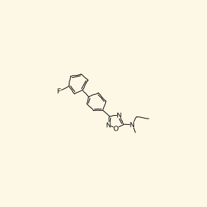 CCN(C)c1nc(-c2ccc(-c3cccc(F)c3)cc2)no1